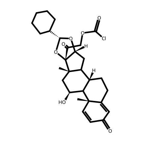 C[C@]12C=CC(=O)C=C1CC[C@@H]1C2[C@@H](O)C[C@@]2(C)C1C[C@H]1O[C@@H](C3CCCCC3)O[C@]12C(=O)COC(=O)Cl